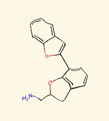 NCC1Cc2cccc(-c3cc4ccccc4o3)c2O1